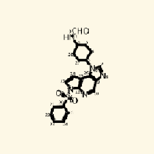 O=CNC1CCC(n2cnc3cnc4c(ccn4S(=O)(=O)c4ccccc4)c32)CC1